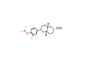 O=C[C@@H]1CC[C@@H]2CC(c3ccc(OC(F)F)c(F)c3)CC[C@@H]2C1